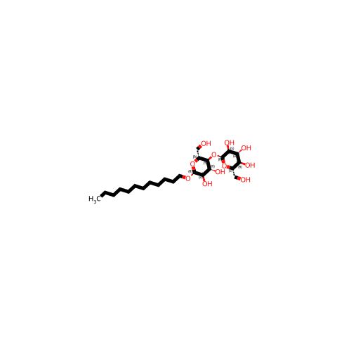 CCCCCCCCCCCCO[C@@H]1O[C@H](CO)[C@@H](O[C@H]2O[C@@H](CO)[C@H](O)[C@@H](O)[C@@H]2O)[C@H](O)[C@H]1O